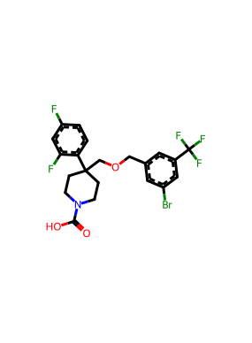 O=C(O)N1CCC(COCc2cc(Br)cc(C(F)(F)F)c2)(c2ccc(F)cc2F)CC1